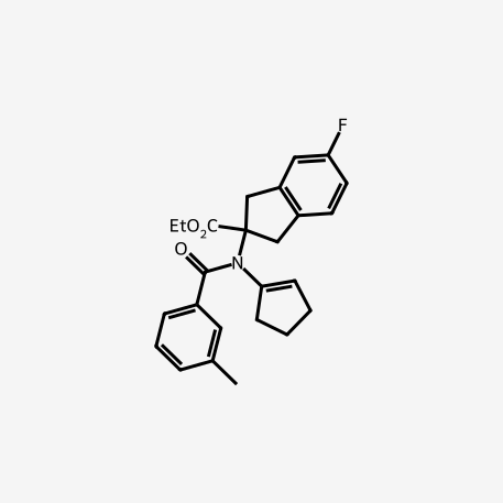 CCOC(=O)C1(N(C(=O)c2cccc(C)c2)C2=CCCC2)Cc2ccc(F)cc2C1